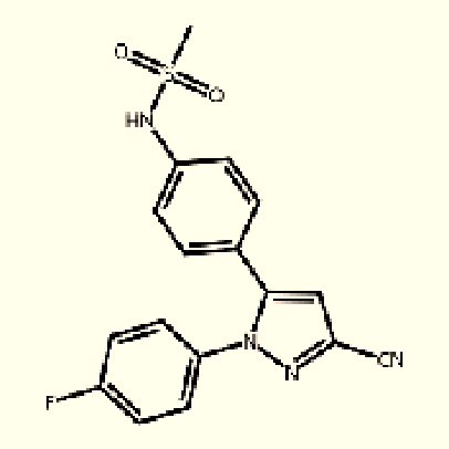 CS(=O)(=O)Nc1ccc(-c2cc(C#N)nn2-c2ccc(F)cc2)cc1